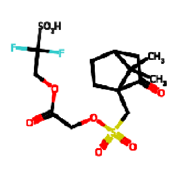 CC1(C)C2CCC1(CS(=O)(=O)OCC(=O)OCC(F)(F)S(=O)(=O)O)C(=O)C2